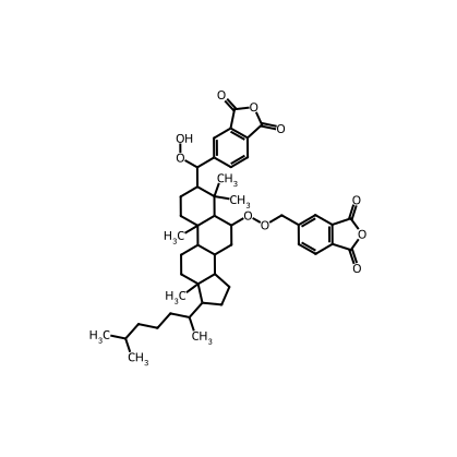 CC(C)CCCC(C)C1CCC2C3CC(OOCc4ccc5c(c4)C(=O)OC5=O)C4C(C)(C)C(C(OO)c5ccc6c(c5)C(=O)OC6=O)CCC4(C)C3CCC12C